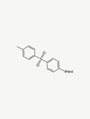 CCCC(C)c1ccc(S(=O)(=O)c2ccc(C)cc2)cc1